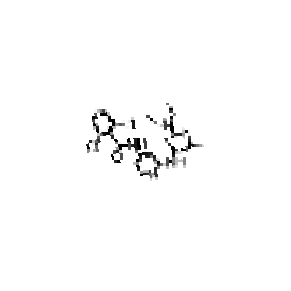 CCN(CC)c1nc(C)cc(Nc2cc(NC(=O)c3c(Cl)cccc3Cl)ccn2)n1